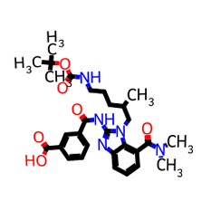 CC(CCCNC(=O)OC(C)(C)C)Cn1c(NC(=O)c2cccc(C(=O)O)c2)nc2cccc(C(=O)N(C)C)c21